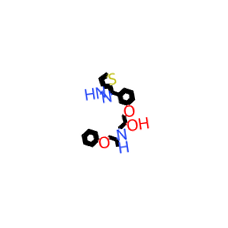 CC(COc1ccccc1)NCC(O)COc1cccc(-c2n[nH]c3ccsc23)c1